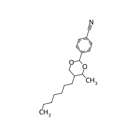 CCCCCCCC1COC(c2ccc(C#N)cc2)OC1C